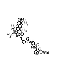 C=C(C)[C@@H]1CC[C@]2(C(=O)NCCc3cccc(C(=O)NCc4ccc(C(=O)NCc5cccnc5C(=O)OC)cc4)c3)CC[C@]3(C)C(CCC4[C@@]5(C)CC[C@H](O)C(C)(C)C5CC[C@]43C)C12